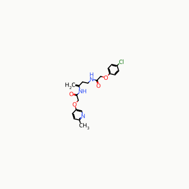 C=C(CCNC(=O)COc1ccc(Cl)cc1)NC(=O)COc1ccc(C)nc1